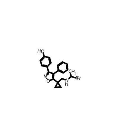 CC(C)C(C)NCC1(c2onc(-c3ccc(O)cc3)c2-c2ccccc2)CC1